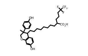 CC1(c2ccc(O)cc2)COc2cc(O)ccc2C1CCCCCCCCC(CCCC(F)(F)C(F)(F)F)C(=O)O